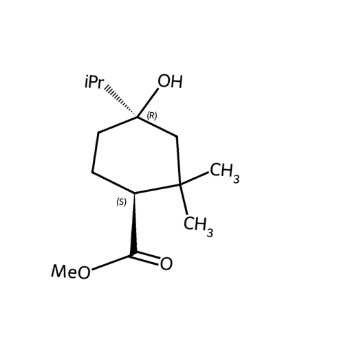 COC(=O)[C@H]1CC[C@](O)(C(C)C)CC1(C)C